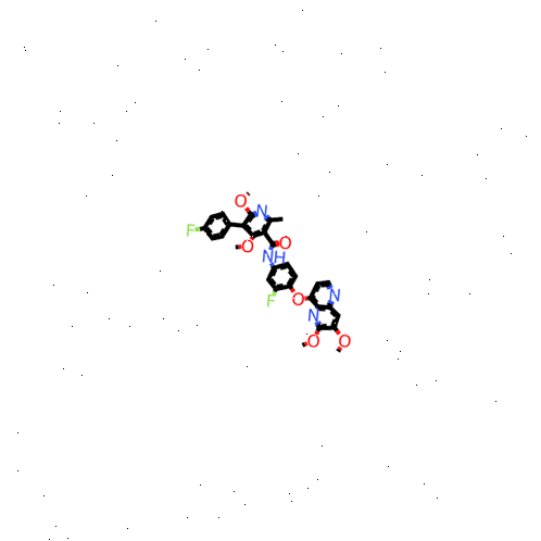 COc1cc2nccc(Oc3ccc(NC(=O)c4c(C)nc(OC)c(-c5ccc(F)cc5)c4OC)cc3F)c2nc1OC